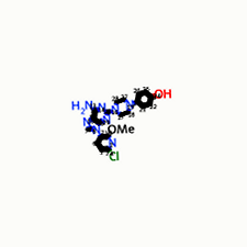 COc1nc(Cl)ccc1-n1cnc2c(N)nc(N3CCN(c4ccc(O)cc4)CC3)nc21